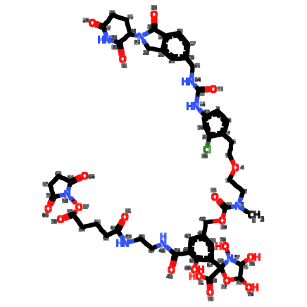 CN(CCOCCc1ccc(NC(=O)NCc2ccc3c(c2)CN(C2CCC(=O)NC2=O)C3=O)cc1Cl)C(=O)OCc1cc(C(=O)NCCNC(=O)CCCC(=O)ON2C(=O)CCC2=O)c(O)c(C2(C(=O)O)OC(O)C(O)N2O)c1